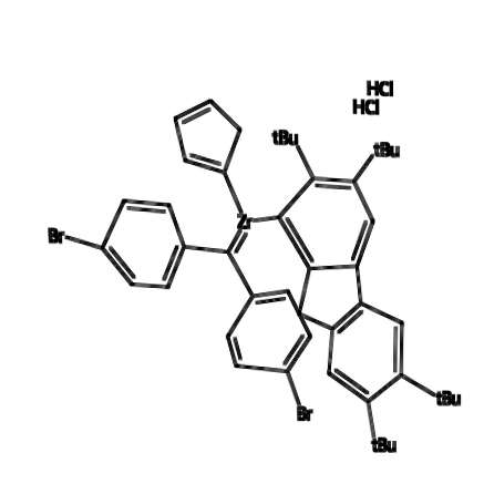 CC(C)(C)c1cc2c(cc1C(C)(C)C)-c1cc(C(C)(C)C)c(C(C)(C)C)[c]([Zr]([C]3=CC=CC3)=[C](c3ccc(Br)cc3)c3ccc(Br)cc3)c1C2.Cl.Cl